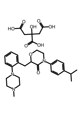 CC(C)c1ccc(N2CCOC(Cc3ccccc3N3CCN(C)CC3)C2=O)cc1.O=C(O)CC(O)(CC(=O)O)C(=O)O